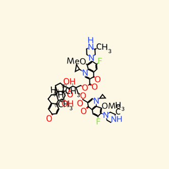 COc1c(N2CCNC(C)C2)c(F)cc2c(=O)c(C(=O)OCC([CH]C(=O)[C@]3(O)CC[C@@H]4[C@H]5CCC6=CC(=O)C=C[C@@]6(C)C5[C@H](O)C[C@]43C)COC(=O)c3cn(C4CC4)c4c(OC)c(N5CCNC(C)C5)c(F)cc4c3=O)cn(C3CC3)c12